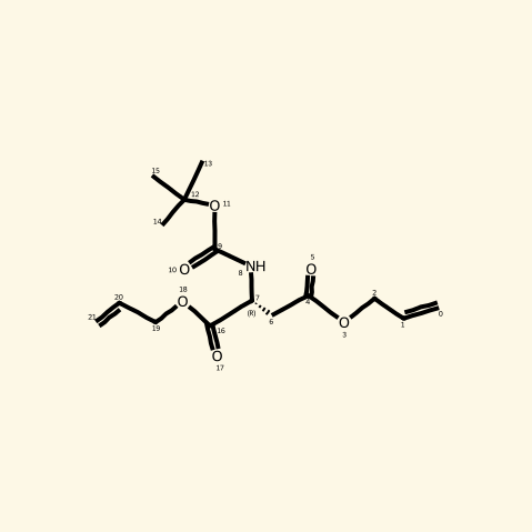 C=CCOC(=O)C[C@@H](NC(=O)OC(C)(C)C)C(=O)OCC=C